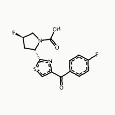 O=C(c1ccc(F)cc1)c1csc([C@@H]2C[C@@H](F)CN2C(=O)O)n1